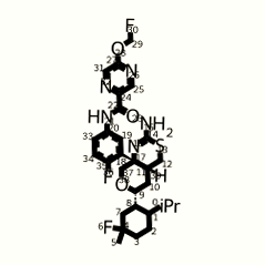 CC(C)C1CCC(C)(F)CC1[C@H]1C[C@H]2CSC(N)=N[C@@]2(c2cc(NC(=O)c3cnc(OCF)cn3)ccc2F)CO1